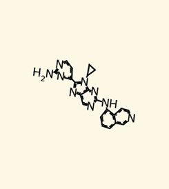 Nc1nccc(-c2nc3cnc(Nc4cccc5cnccc45)nc3n2C2CC2)n1